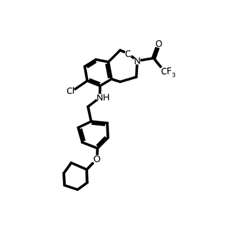 O=C(N1CCc2ccc(Cl)c(NCc3ccc(OC4CCCCC4)cc3)c2CC1)C(F)(F)F